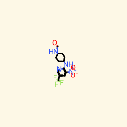 O=CN[C@H]1CC[C@H](Nc2ncc(C(F)(F)F)cc2[N+](=O)[O-])CC1